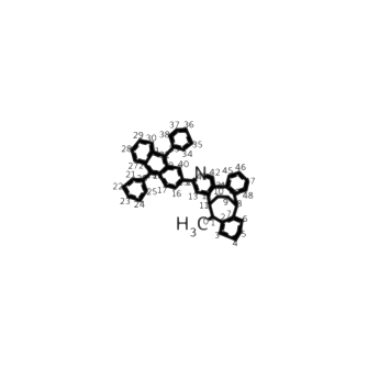 CC1c2ccccc2C2CCC1c1cc(-c3ccc4c(-c5ccccc5)c5ccccc5c(-c5ccccc5)c4c3)ncc1-c1ccccc12